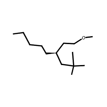 CCCCC[C@@H](CCOC)CC(C)(C)C